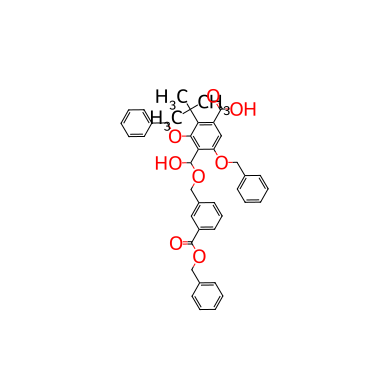 CC(C)(C)c1c(C(=O)O)cc(OCc2ccccc2)c(C(O)OCc2cccc(C(=O)OCc3ccccc3)c2)c1OCc1ccccc1